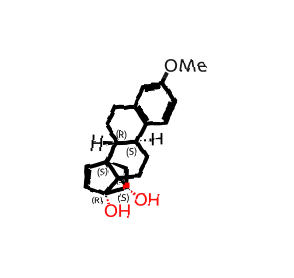 COc1ccc2c(c1)CC[C@@H]1[C@@H]2CC[C@@]2(C)[C@]13C=C[C@]2(O)[C@@H](O)C3